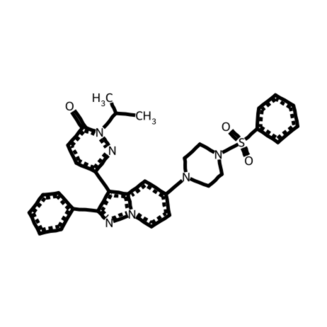 CC(C)n1nc(-c2c(-c3ccccc3)nn3ccc(N4CCN(S(=O)(=O)c5ccccc5)CC4)cc23)ccc1=O